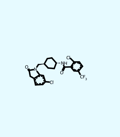 O=C(N[C@H]1CC[C@H](CN2C(=O)Cc3ccc(Cl)cc32)CC1)c1cc(C(F)(F)F)ccc1Cl